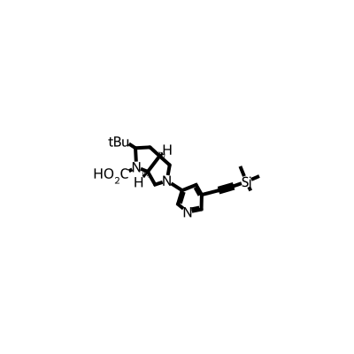 CC(C)(C)C1C[C@@H]2CN(c3cncc(C#C[Si](C)(C)C)c3)C[C@@H]2N1C(=O)O